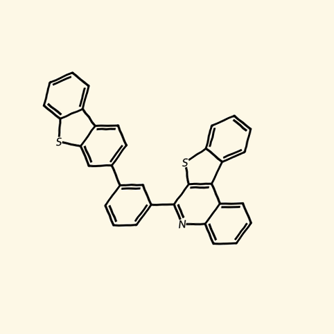 c1cc(-c2ccc3c(c2)sc2ccccc23)cc(-c2nc3ccccc3c3c2sc2ccccc23)c1